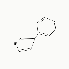 B1C=CC(c2ccccc2)=C1